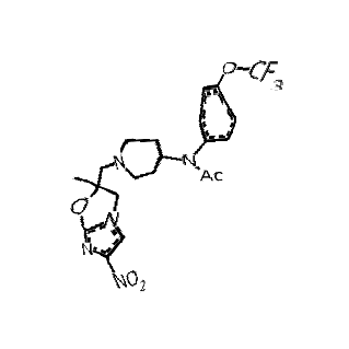 CC(=O)N(c1ccc(OC(F)(F)F)cc1)C1CCN(CC2(C)Cn3cc([N+](=O)[O-])nc3O2)CC1